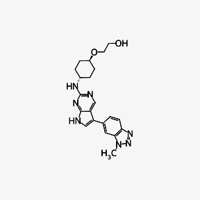 Cn1nnc2ccc(-c3c[nH]c4nc(N[C@H]5CC[C@H](OCCO)CC5)ncc34)cc21